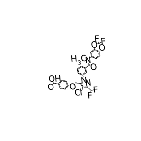 CN(C(=O)c1cccc(-n2nc(C(F)F)c(Cl)c2COc2ccc(C(=O)O)cc2)c1)c1ccc2c(c1)OC(F)(F)O2